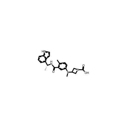 Cc1ccc(N(C)C2CN(C(=O)O)C2)cc1C(=O)N[C@H](C)c1cccc2[nH]ccc12